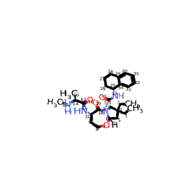 CCC1(CC)C[C@@H]2OCC[C@H](NC(=O)[C@H](C)NC)C(=O)N2[C@@H]1C(=O)N[C@@H]1CCCc2ccccc21